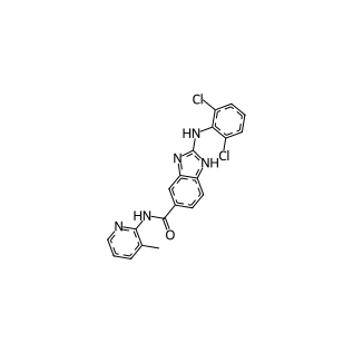 Cc1cccnc1NC(=O)c1ccc2[nH]c(Nc3c(Cl)cccc3Cl)nc2c1